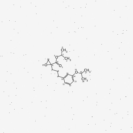 CC(C)OC(=O)C1(CCCc2cccc(OC(C)C)c2)CO1